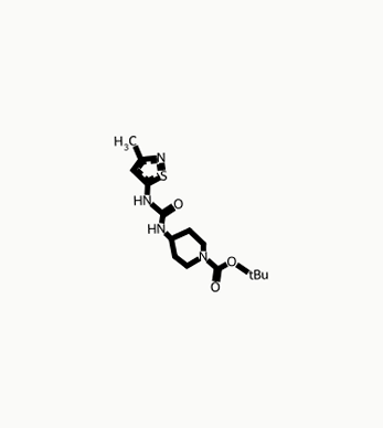 Cc1cc(NC(=O)NC2CCN(C(=O)OC(C)(C)C)CC2)sn1